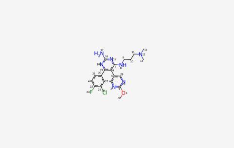 COc1ncc(-c2c(NCCCN(C)C)nc(N)nc2-c2ccc(F)c(Cl)c2)cn1